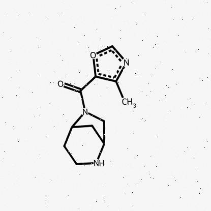 Cc1ncoc1C(=O)N1CC2CC1CCN2